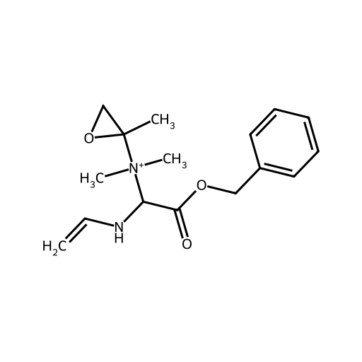 C=CNC(C(=O)OCc1ccccc1)[N+](C)(C)C1(C)CO1